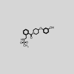 CS(=O)(=O)NCc1ccccc1C(=O)N1CCC(Oc2cccc(O)c2)CC1